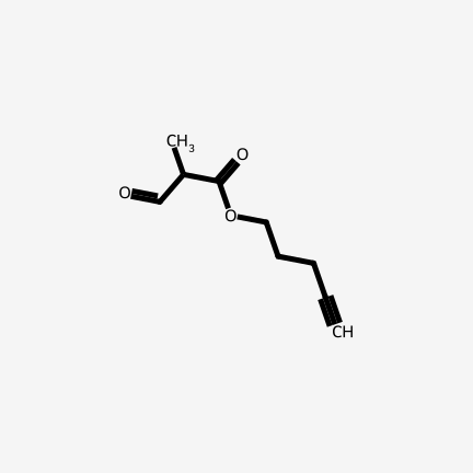 C#CCCCOC(=O)C(C)C=O